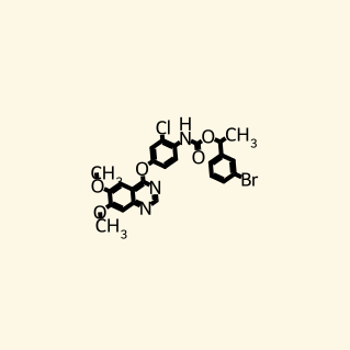 COc1cc2ncnc(Oc3ccc(NC(=O)OC(C)c4cccc(Br)c4)c(Cl)c3)c2cc1OC